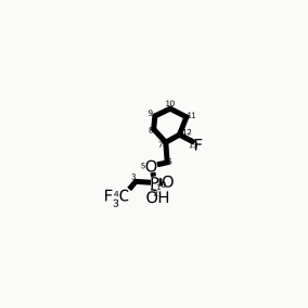 O=P(O)(CC(F)(F)F)OCC1CCCCC1F